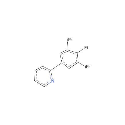 CCc1c(C(C)C)cc(-c2ccccn2)cc1C(C)C